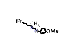 COc1ccc(/N=C/C=C(\C)CCCC(C)C)cc1